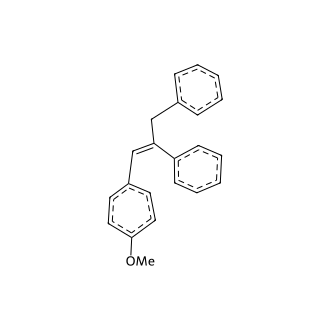 COc1ccc(/C=C(/Cc2ccccc2)c2ccccc2)cc1